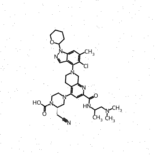 Cc1cc2c(cnn2C2CCCCO2)c(N2CCc3c(N4CCN(C(=O)O)[C@@H](CC#N)C4)cc(C(=O)NC(C)CN(C)C)nc3C2)c1Cl